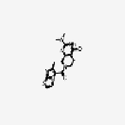 Cc1nc2sccn2c1C(=O)N1CCc2c(nc(N(C)C)[nH]c2=O)C1